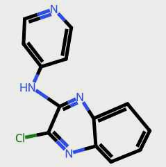 Clc1nc2ccccc2nc1Nc1ccncc1